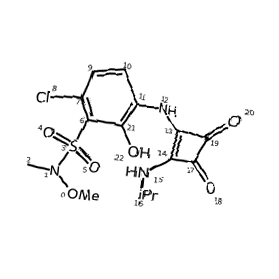 CON(C)S(=O)(=O)c1c(Cl)ccc(Nc2c(NC(C)C)c(=O)c2=O)c1O